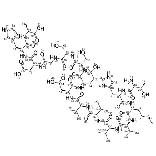 CSCC[C@H](NC(=O)[C@H](Cc1c[nH]cn1)NC(=O)[C@@H](N)[C@@H](C)O)C(=O)N[C@H](C(=O)N[C@H](C(=O)N[C@H](C(=O)N[C@H](C(=O)N[C@@H](CC(=O)O)C(=O)N[C@@H](CCC(=O)O)C(=O)N[C@@H](CO)C(=O)N[C@@H](CO)C(=O)NCC(=O)N[C@@H](CC(=O)O)C(=O)N[C@@H](Cc1c[nH]cn1)C(=O)N[C@@H](C)C(=O)O)C(C)C)C(C)C)C(C)C)C(C)C